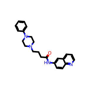 O=C(CCCN1CCN(c2ccccc2)CC1)Nc1ccc2ncccc2c1